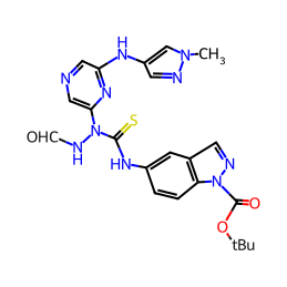 Cn1cc(Nc2cncc(N(NC=O)C(=S)Nc3ccc4c(cnn4C(=O)OC(C)(C)C)c3)n2)cn1